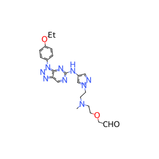 CCOc1ccc(-n2nnc3cnc(Nc4cnn(CCN(C)CCOCC=O)c4)nc32)cc1